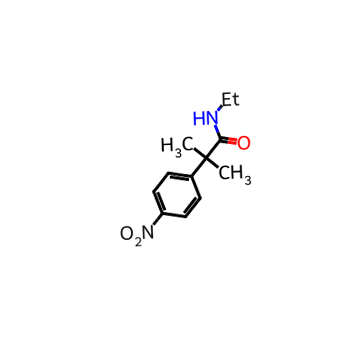 CCNC(=O)C(C)(C)c1ccc([N+](=O)[O-])cc1